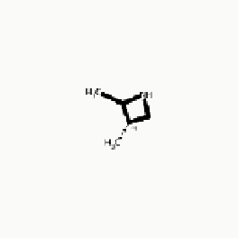 CC1NC[C@@H]1C